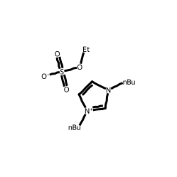 CCCCn1cc[n+](CCCC)c1.CCOS(=O)(=O)[O-]